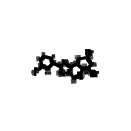 Fc1cccc(-c2nc3c4cc(Br)cc(Br)c4ncn3n2)c1